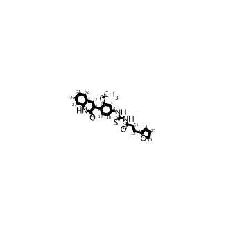 COc1cc(NC(=S)NC(=O)C=Cc2ccco2)ccc1-c1cc2ccccc2[nH]c1=O